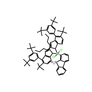 CCCCC1=Cc2c(ccc(C(C)(C)C)c2-c2cc(C(C)(C)C)cc(C(C)(C)C)c2)[CH]1[Zr]([Cl])([Cl])([c]1cccc2c1[SiH2]c1ccccc1-2)[CH]1C(CCCC)=Cc2c1ccc(C(C)(C)C)c2-c1cc(C(C)(C)C)cc(C(C)(C)C)c1